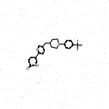 O=c1ccc(-c2ccc(CC3CCN(c4ccc(C(F)(F)F)cc4)CC3)cn2)c[nH]1